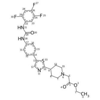 CCOC(=O)CN1CCC(c2ncc(-c3ccc(NC(=O)Nc4cc(F)c(F)cc4F)cc3)s2)CC1